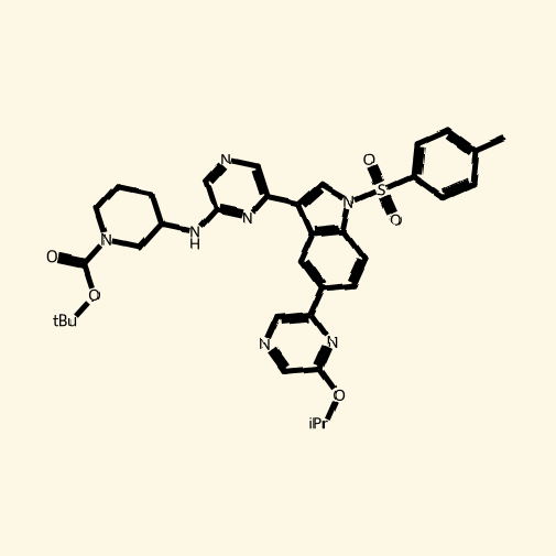 Cc1ccc(S(=O)(=O)n2cc(-c3cncc(NC4CCCN(C(=O)OC(C)(C)C)C4)n3)c3cc(-c4cncc(OC(C)C)n4)ccc32)cc1